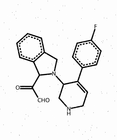 O=CC(=O)C1c2ccccc2CN1C1CNCC=C1c1ccc(F)cc1